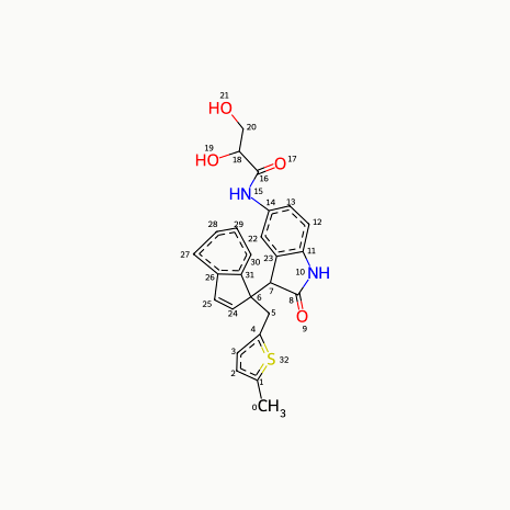 Cc1ccc(CC2(C3C(=O)Nc4ccc(NC(=O)C(O)CO)cc43)C=Cc3ccccc32)s1